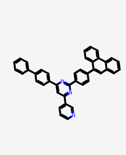 c1ccc(-c2ccc(-c3cc(-c4cccnc4)nc(-c4ccc(-c5cc6ccccc6c6ccccc56)cc4)n3)cc2)cc1